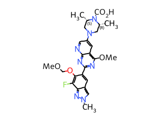 COCOc1c(-c2nc(OC)c3cc(N4C[C@@H](C)N(C(=O)O)[C@@H](C)C4)cnc3n2)cc2cn(C)nc2c1F